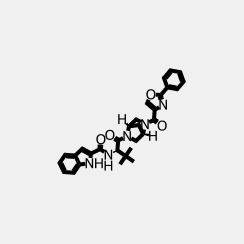 CC(C)(C)[C@H](NC(=O)c1cc2ccccc2[nH]1)C(=O)N1C[C@@H]2C[C@H]1CN2C(=O)c1coc(-c2ccccc2)n1